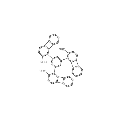 O=Cc1ccc2c(c1-c1cc(-c3c(C=O)ccc4c3-c3ccccc3-4)cc(-c3c(C=O)ccc4c3-c3ccccc3-4)c1)-c1ccccc1-2